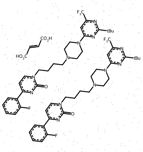 CC(C)(C)c1nc(N2CCN(CCCCn3ccc(-c4ccccc4F)nc3=O)CC2)cc(C(F)(F)F)n1.CC(C)(C)c1nc(N2CCN(CCCCn3ccc(-c4ccccc4F)nc3=O)CC2)cc(C(F)(F)F)n1.O=C(O)C=CC(=O)O